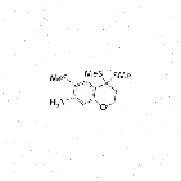 CSc1cc2c(cc1N)OCCC2(SC)SC